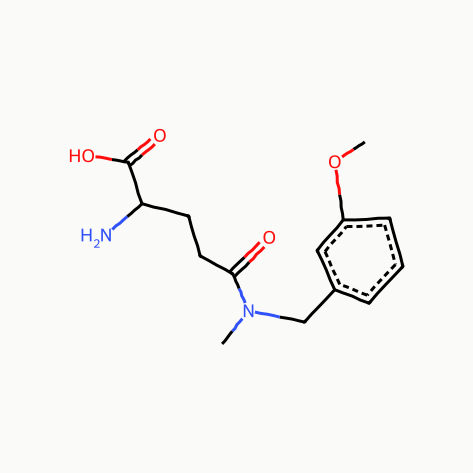 COc1cccc(CN(C)C(=O)CCC(N)C(=O)O)c1